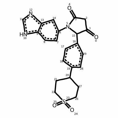 O=C1CC(=O)N(c2ccc3[nH]cnc3c2)C1c1ccc(C2CCS(=O)(=O)CC2)cc1